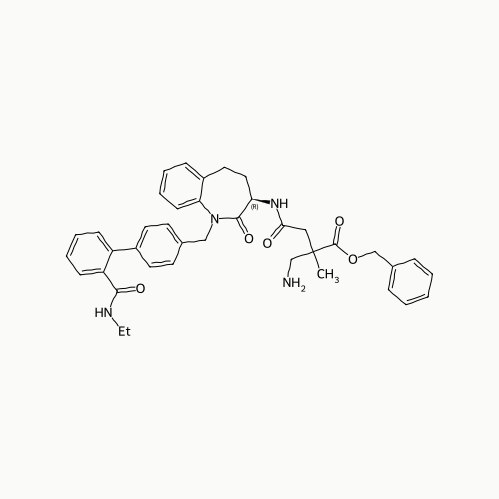 CCNC(=O)c1ccccc1-c1ccc(CN2C(=O)[C@H](NC(=O)CC(C)(CN)C(=O)OCc3ccccc3)CCc3ccccc32)cc1